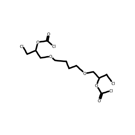 O=C(Cl)OC(CCl)COCCCCOCC(CCl)OC(=O)Cl